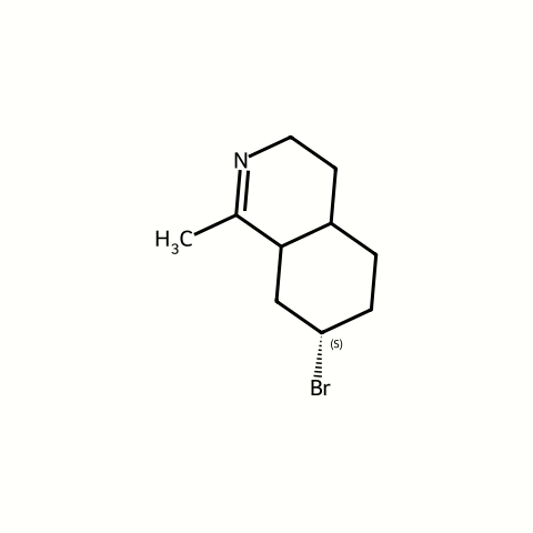 CC1=NCCC2CC[C@H](Br)CC12